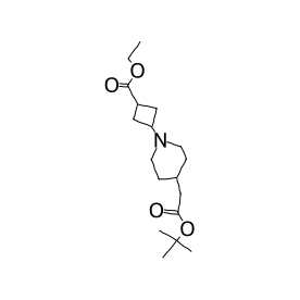 CCOC(=O)C1CC(N2CCC(CC(=O)OC(C)(C)C)CC2)C1